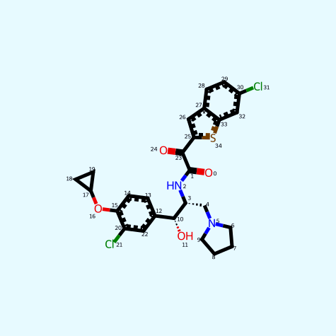 O=C(N[C@H](CN1CCCC1)[C@H](O)c1ccc(OC2CC2)c(Cl)c1)C(=O)c1cc2ccc(Cl)cc2s1